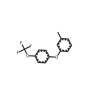 [CH2]c1cccc(Oc2ccc(OC(F)(F)F)cc2)c1